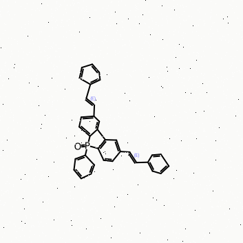 O=P1(c2ccccc2)c2ccc(/C=C/c3ccccc3)cc2-c2cc(/C=C/c3ccccc3)ccc21